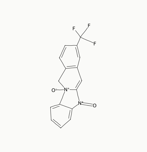 O=[N+]1C2=Cc3cc(C(F)(F)F)ccc3C[N+]2([O-])c2ccccc21